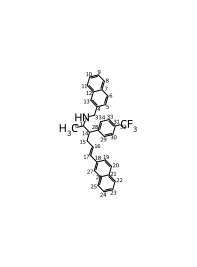 CC(NCc1ccc2ccccc2c1)C(CC=Cc1ccc2ccccc2c1)c1ccc(C(F)(F)F)cc1